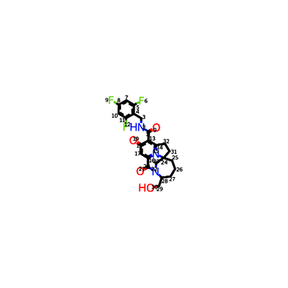 O=C(NCc1c(F)cc(F)cc1F)c1c2n3c(cc1=O)C(=O)N1CC3(CCCC1CO)CC2